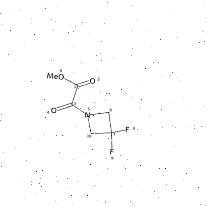 COC(=O)C(=O)N1CC(F)(F)C1